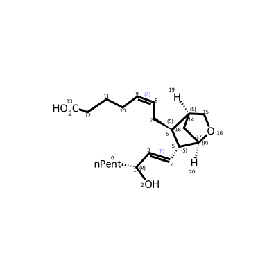 CCCCC[C@@H](O)/C=C/[C@@H]1[C@@H](C/C=C\CCCC(=O)O)[C@H]2CO[C@@H]1C2